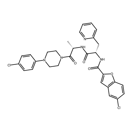 C[C@H](NC(=O)[C@H](Cc1ccccn1)NC(=O)c1cc2cc(Cl)ccc2o1)C(=O)N1CCN(c2ccc(Cl)cc2)CC1